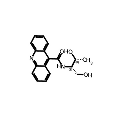 C[C@@H](O)[C@H](CO)NC(=O)c1c2ccccc2nc2ccccc12